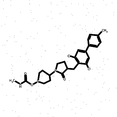 CNC(=O)ON1CCC(N2CCC(Cc3c(Cl)cc(-c4ccc(C)cc4)cc3Cl)C2=O)CC1